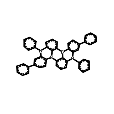 c1ccc(-c2ccc3c(c2)N(c2ccccc2)c2cccc4c2B3c2cccc3c2B4c2ccc(-c4ccccc4)cc2N3c2ccccc2)cc1